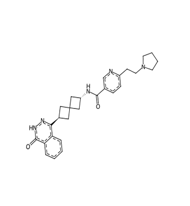 O=C(N[C@H]1CC2(C1)C[C@H](c1n[nH]c(=O)c3ccccc31)C2)c1ccc(CCN2CCCC2)nc1